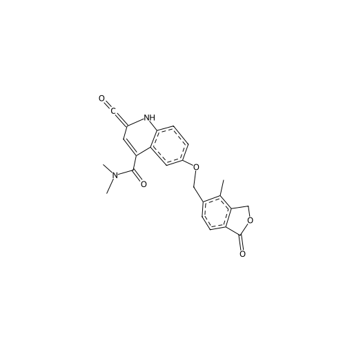 Cc1c(COc2ccc3c(c2)C(C(=O)N(C)C)=CC(=C=O)N3)ccc2c1COC2=O